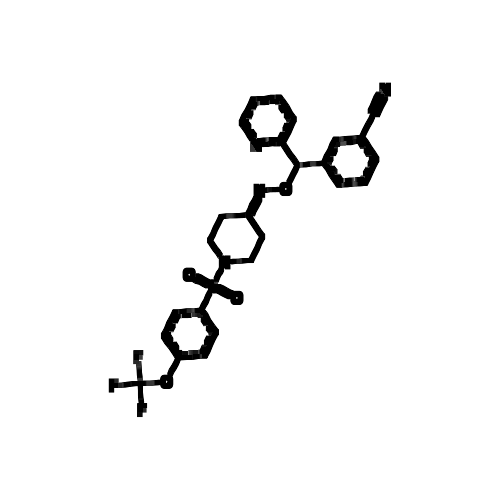 N#Cc1cccc(C(ON=C2CCN(S(=O)(=O)c3ccc(OC(F)(F)F)cc3)CC2)c2ccccn2)c1